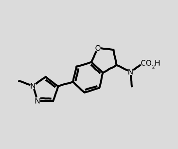 CN(C(=O)O)C1COc2cc(-c3cnn(C)c3)ccc21